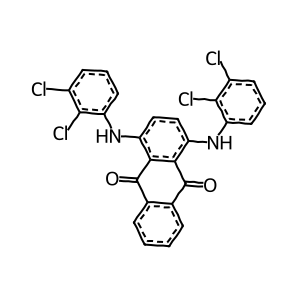 O=C1c2ccccc2C(=O)c2c(Nc3cccc(Cl)c3Cl)ccc(Nc3cccc(Cl)c3Cl)c21